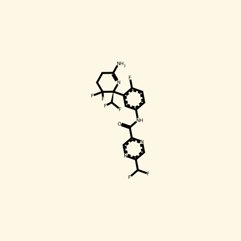 NC1=N[C@@](c2cc(NC(=O)c3cnc(C(F)F)cn3)ccc2F)(C(F)F)C(F)(F)CC1